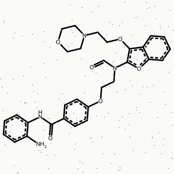 Nc1ccccc1NC(=O)c1ccc(OCCN(C=O)c2oc3ccccc3c2OCCN2CCOCC2)cc1